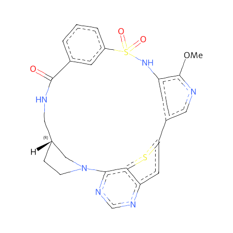 COc1ncc2cc1NS(=O)(=O)c1cccc(c1)C(=O)NC[C@H]1CCN(C1)c1ncnc3cc-2sc13